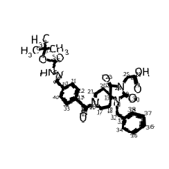 CC(C)(C)OC(=O)NN=Cc1ccc(C(=O)N2CCC3(CC2)C(=O)N(CC(=O)O)C(=O)N3Cc2ccccc2)cc1